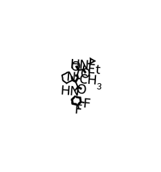 CCC1(NC(=O)C(=O)c2c(C)c(C(=O)Nc3ccc(F)c(F)c3)c3n2CCCC3)CC1